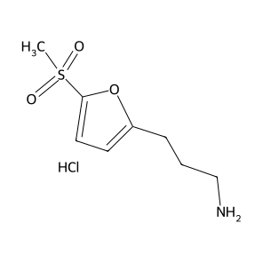 CS(=O)(=O)c1ccc(CCCN)o1.Cl